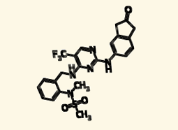 CN(c1ccccc1CNc1nc(Nc2ccc3c(c2)CC(=O)C3)ncc1C(F)(F)F)S(C)(=O)=O